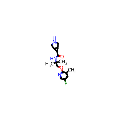 Cc1cc(F)cnc1OCC(C)(C)NC(=O)C1C2CNCC21